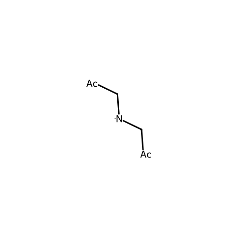 CC(=O)C[N]CC(C)=O